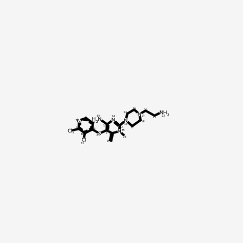 C=C1C(Sc2ccnc(Cl)c2Cl)=C(N)N=C(N2CCN(CCN)CC2)N1C